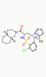 Cc1cccc(Cl)c1S(=O)(=O)NC(CCn1cccc1C#N)C(=O)N1CC[C@H]2CCCC[C@H]2C1